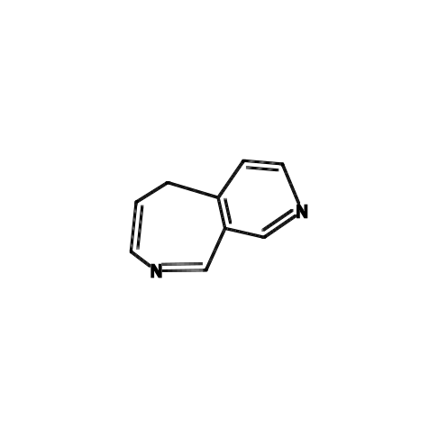 C1=CN=Cc2cnccc2C1